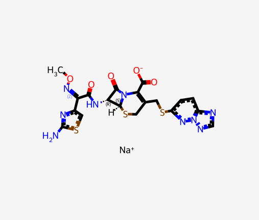 CO/N=C(\C(=O)N[C@@H]1C(=O)N2C(C(=O)[O-])=C(CSc3ccc4ncnn4n3)CS[C@@H]12)c1csc(N)n1.[Na+]